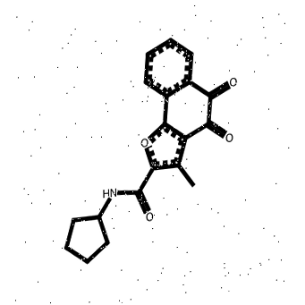 Cc1c(C(=O)NC2CCCC2)oc2c1C(=O)C(=O)c1ccccc1-2